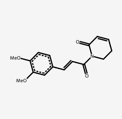 COc1ccc(/C=C/C(=O)N2CCC=CC2=O)cc1OC